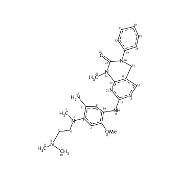 COc1cc(N(C)CCN(C)C)c(N)cc1Nc1ncc2c(n1)N(C)C(=O)N(c1ccccc1)C2